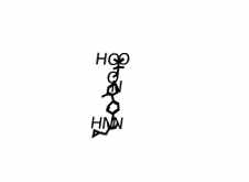 Cc1cc(OCC(C)(C)C(=O)O)ncc1-c1ccc(-c2ncc(CC3CC3)[nH]2)cc1